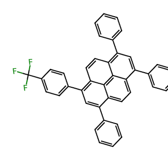 FC(F)(F)c1ccc(-c2cc(-c3ccccc3)c3ccc4c(-c5ccccc5)cc(-c5ccccc5)c5ccc2c3c45)cc1